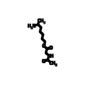 CC(=O)NCC(=O)OCCCCCC(C)N